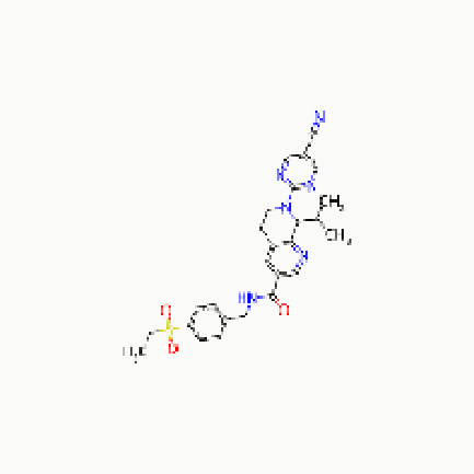 CCS(=O)(=O)c1ccc(CNC(=O)c2cnc3c(c2)CCN(c2ncc(C#N)cn2)[C@H]3C(C)C)cc1